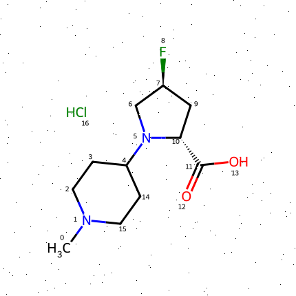 CN1CCC(N2C[C@@H](F)C[C@@H]2C(=O)O)CC1.Cl